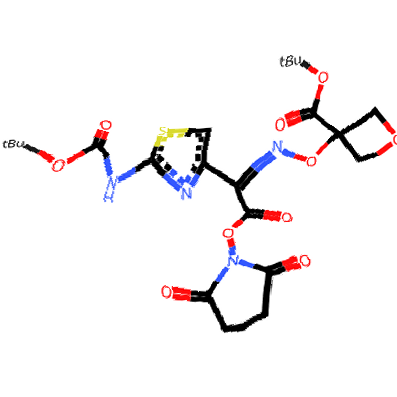 CC(C)(C)OC(=O)Nc1nc(/C(=N/OC2(C(=O)OC(C)(C)C)COC2)C(=O)ON2C(=O)CCC2=O)cs1